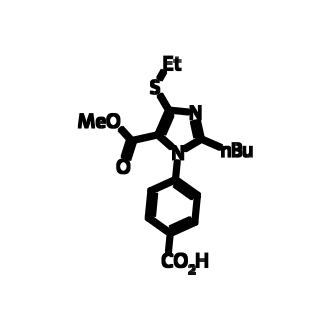 CCCCc1nc(SCC)c(C(=O)OC)n1-c1ccc(C(=O)O)cc1